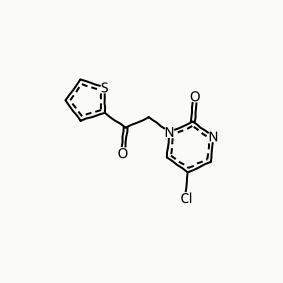 O=C(Cn1cc(Cl)cnc1=O)c1cccs1